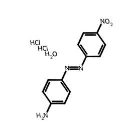 Cl.Cl.Nc1ccc(N=Nc2ccc([N+](=O)[O-])cc2)cc1.O